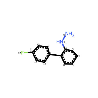 NNc1ccccc1-c1ccc(F)cc1